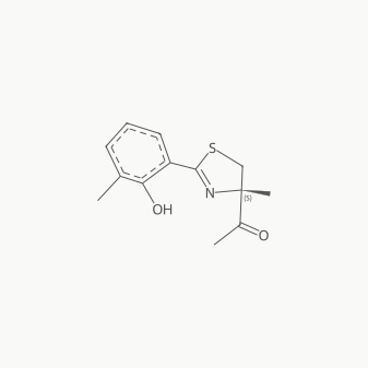 CC(=O)[C@@]1(C)CSC(c2cccc(C)c2O)=N1